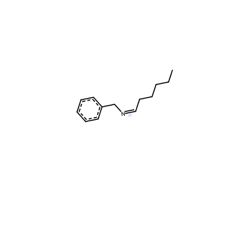 CCCCC/C=N\Cc1ccccc1